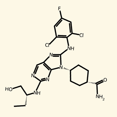 CC[C@H](CO)Nc1ncc2nc(Nc3c(Cl)cc(F)cc3Cl)n([C@H]3CC[C@@H](C(N)=O)CC3)c2n1